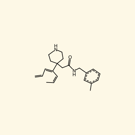 C=C/C=C(\C=C/C)C1(CC(=O)NCc2cccc(C)c2)CCNCC1